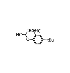 CC(C)(C)c1ccc(OC(C#N)C(C)(C)C)c(C=O)c1